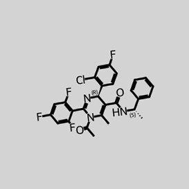 CC(=O)N1C(c2c(F)cc(F)cc2F)=N[C@@H](c2ccc(F)cc2Cl)C(C(=O)N[C@@H](C)c2ccccc2)=C1C